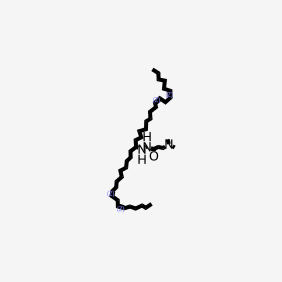 CCCCC/C=C\C/C=C\CCCCCCCCC(CCCCCCCC/C=C\C/C=C\CCCCC)NNC(=O)CCN(C)C